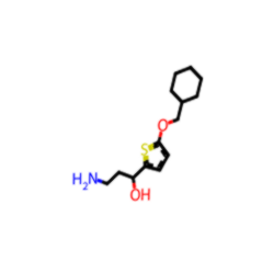 NCCC(O)c1ccc(OCC2CCCCC2)s1